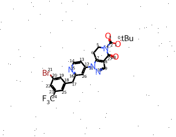 CC(C)(C)OC(=O)N1CCc2c(cnn2-c2ccnc(Cc3cc(Br)cc(C(F)(F)F)c3)c2)C1=O